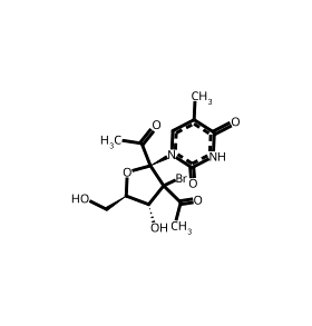 CC(=O)C1(Br)[C@H](O)[C@@H](CO)O[C@@]1(C(C)=O)n1cc(C)c(=O)[nH]c1=O